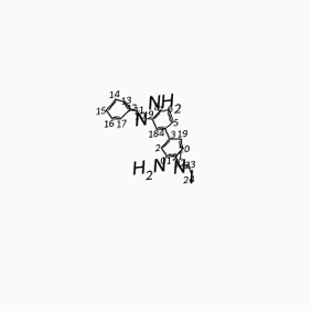 Nc1cc(-c2ccc(N)c(/N=C/c3ccccc3)c2)ccc1/N=C/I